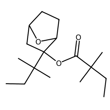 CCC(C)(C)C(=O)OC1(C(C)(C)CC)CC2CCC1O2